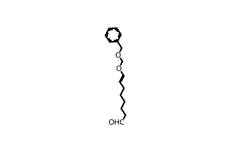 O=CCCCCCC=COCOCc1ccccc1